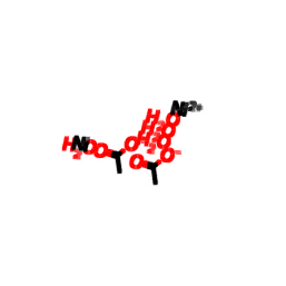 CC(=O)[O-].CC(=O)[O-].O.O.O.O.[Ni+2].[Ni]